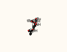 CC(C)(C)OC(=O)NCCN(CCNC(=O)OC(C)(C)C)C(=N)N1Cc2ccc(OC[C@@H](O)C(=O)OC(c3ccccc3)c3ccccc3)cc2C1